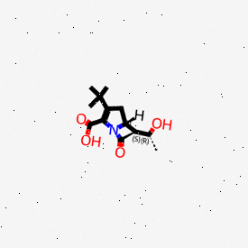 C[C@@H](O)[C@H]1C(=O)N2C(C(=O)O)=C(C(C)(C)C)C[C@H]12